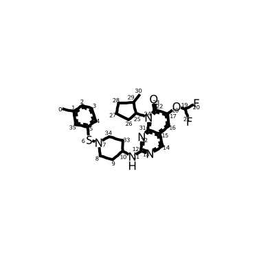 Cc1cccc(SN2CCC(Nc3ncc4cc(OC(F)F)c(=O)n(C5CCCC5C)c4n3)CC2)c1